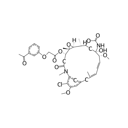 COc1cc2cc(c1Cl)N(C)C(=O)C[C@H](OC(=O)COc1cccc(C(C)=O)c1)[C@]1(C)O[C@H]1[C@H](C)[C@@H]1C[C@@](O)(NC(=O)O1)[C@H](OC)/C=C/C=C(\C)C2